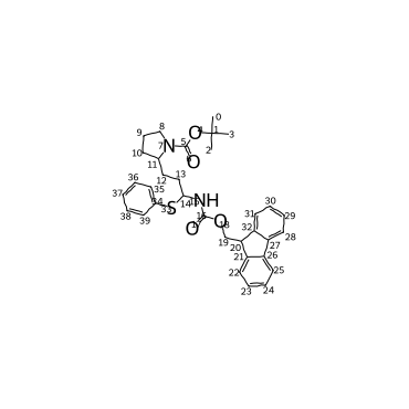 CC(C)(C)OC(=O)N1CCCC1CCC(NC(=O)OCC1c2ccccc2-c2ccccc21)Sc1ccccc1